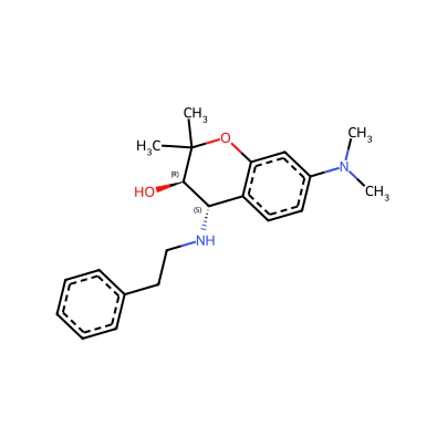 CN(C)c1ccc2c(c1)OC(C)(C)[C@H](O)[C@H]2NCCc1ccccc1